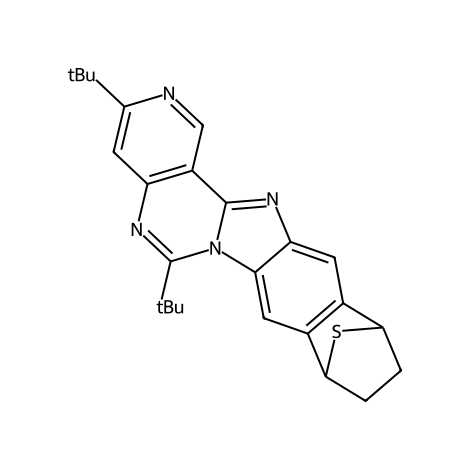 CC(C)(C)c1cc2nc(C(C)(C)C)n3c4cc5c(cc4nc3c2cn1)C1CCC5S1